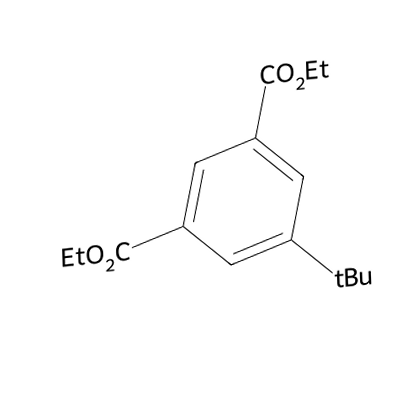 CCOC(=O)c1cc(C(=O)OCC)cc(C(C)(C)C)c1